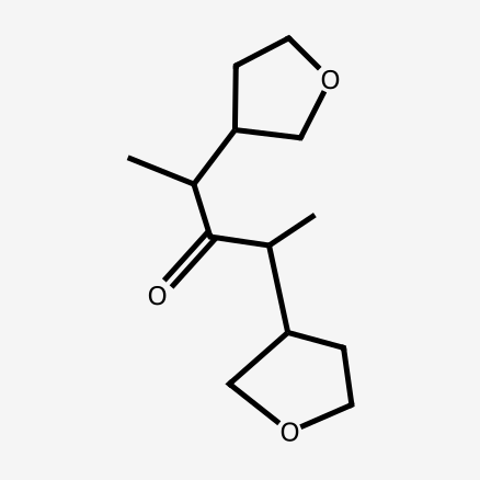 CC(C(=O)C(C)C1CCOC1)C1CCOC1